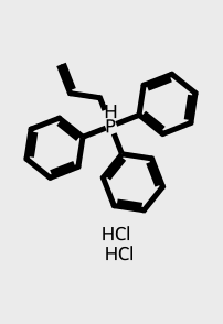 C=CC[PH](c1ccccc1)(c1ccccc1)c1ccccc1.Cl.Cl